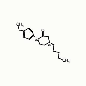 CCCCC[C@H]1CC[C@H](c2ccc(CC)cc2)C(=O)C1